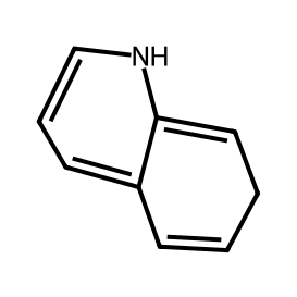 C1=CNC2=CCC=CC2=C1